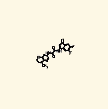 CN1CCOc2cc(NC(=O)C(=O)Nc3c[nH]c4cc(F)c(F)cc34)cnc21